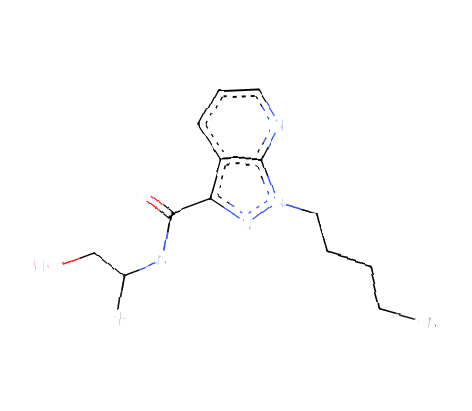 CC(C)(C)C(CO)NC(=O)c1nn(CCCCC#N)c2ncccc12